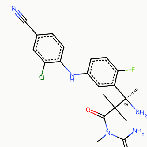 C=C(N)N(C)C(=O)C(C)(C)[C@](C)(N)c1cc(Nc2ccc(C#N)cc2Cl)ccc1F